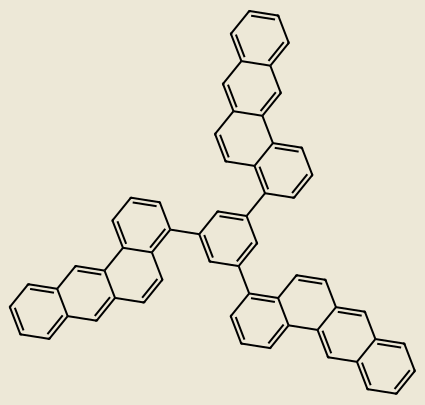 c1ccc2cc3c(ccc4c(-c5cc(-c6cccc7c6ccc6cc8ccccc8cc67)cc(-c6cccc7c6ccc6cc8ccccc8cc67)c5)cccc43)cc2c1